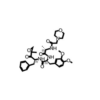 COc1ccc(C[C@H](NC(=O)[C@H](C)NC(=O)CN2CCOCC2)C(=O)N[C@@H](Cc2ccccc2)C(=O)C2(C)CO2)cc1OC